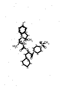 C[C@@H](CN1c2ccc(F)cc2CC1(C)C)NC(=O)OC(CC1CCCCC1)C(=O)N1CCN(S(C)(=O)=O)CC1